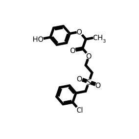 CC(Oc1ccc(O)cc1)C(=O)OCCS(=O)(=O)Cc1ccccc1Cl